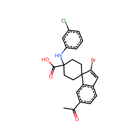 CC(=O)c1ccc2c(c1)C1(CCC(Nc3cccc(Cl)c3)(C(=O)O)CC1)C(Br)=C2